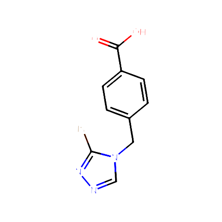 O=C(O)c1ccc(Cn2cnnc2S)cc1